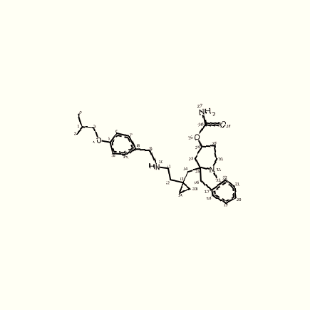 CC(C)COc1ccc(CNCCC2(CC3(Cc4ccccc4)CC(OC(N)=O)CCN3C)CC2)cc1